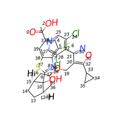 O=C(O)c1cc(F)c2nc(C3(O)[C@@H]4CC[C@H]3CC(OCc3c(-c5c(Cl)cncc5Cl)noc3C3CC3)C4)sc2c1